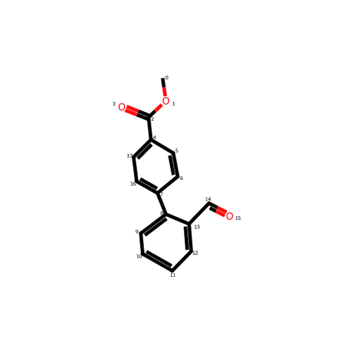 COC(=O)c1ccc(-c2ccccc2C=O)cc1